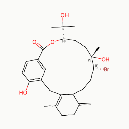 C=C1CCC(C)=C2Cc3cc(ccc3O)C(=O)O[C@H](C(C)(C)O)CC[C@](C)(O)[C@H](Br)CCC12